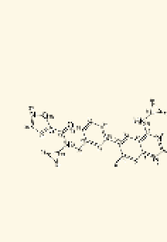 Cc1cc2ncnc(NC3CC3)c2cc1-c1cccc(CN(C(=O)c2ccno2)C2CC2)c1